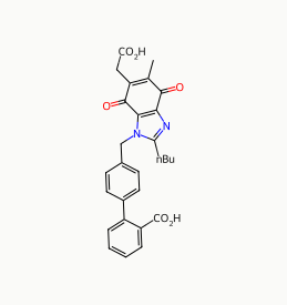 CCCCc1nc2c(n1Cc1ccc(-c3ccccc3C(=O)O)cc1)C(=O)C(CC(=O)O)=C(C)C2=O